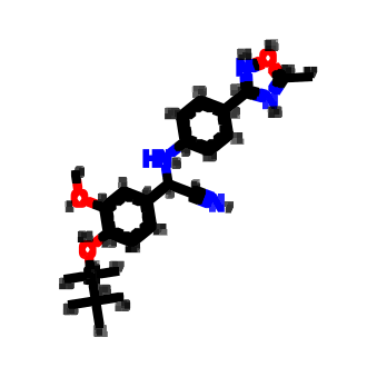 COc1cc(C(C#N)Nc2ccc(-c3noc(C)n3)cc2)ccc1O[Si](C)(C)C(C)(C)C